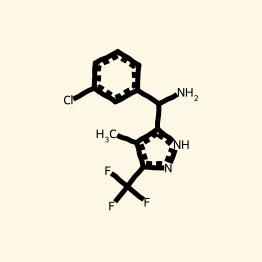 Cc1c(C(F)(F)F)n[nH]c1C(N)c1cccc(Cl)c1